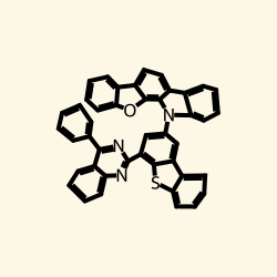 c1ccc(-c2nc(-c3cc(-n4c5ccccc5c5ccc6c7ccccc7oc6c54)cc4c3sc3ccccc34)nc3ccccc23)cc1